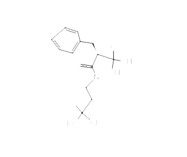 CC(C)(C)CCNC(=O)[C@@H](Cc1ccccc1)C(C)(C)C